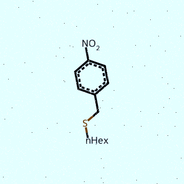 CCCCCCSCc1ccc([N+](=O)[O-])cc1